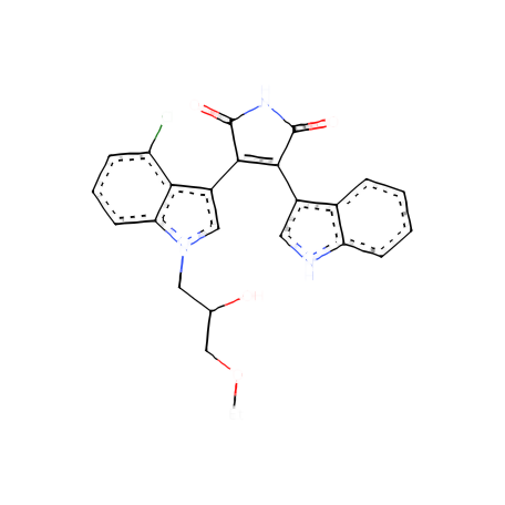 CCOCC(O)Cn1cc(C2=C(c3c[nH]c4ccccc34)C(=O)NC2=O)c2c(Cl)cccc21